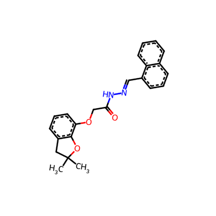 CC1(C)Cc2cccc(OCC(=O)N/N=C/c3cccc4ccccc34)c2O1